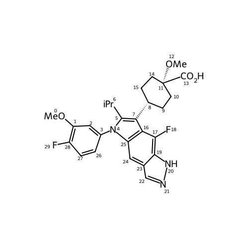 COc1cc(-n2c(C(C)C)c([C@H]3CC[C@](OC)(C(=O)O)CC3)c3c(F)c4[nH]ncc4cc32)ccc1F